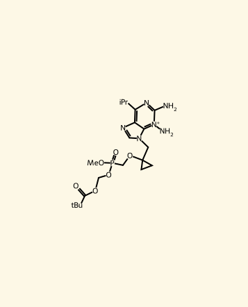 [CH2]OP(=O)(COC1(Cn2cnc3c(C(C)C)nc(N)[n+](N)c32)CC1)OCOC(=O)C(C)(C)C